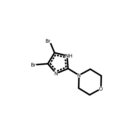 Brc1nc(N2CCOCC2)[nH]c1Br